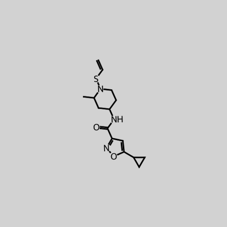 C=CSN1CCC(NC(=O)c2cc(C3CC3)on2)CC1C